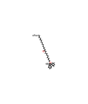 CCCCCC=CCC=CCCCCCCCCC(=O)CCCCCCCCCCO[Si](c1ccccc1)(c1ccccc1)C(C)(C)C